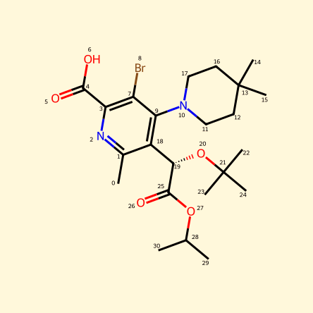 Cc1nc(C(=O)O)c(Br)c(N2CCC(C)(C)CC2)c1[C@H](OC(C)(C)C)C(=O)OC(C)C